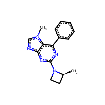 C[C@H]1CCN1c1nc(-c2ccccc2)c2c(ncn2C)n1